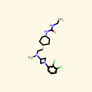 CCNC(=O)N[C@H]1CC[C@H](CCN(C)C2CN(c3cccc(Cl)c3Cl)C2)CC1